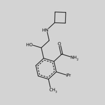 Cc1ccc(C(O)CNC2CCC2)c(C(N)=O)c1C(C)C